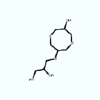 OCC(O)COC1COCC(O)COC1